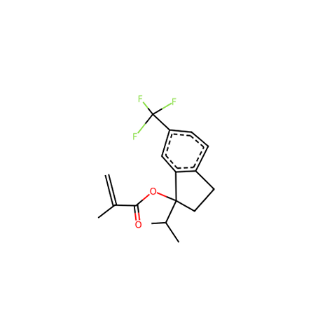 C=C(C)C(=O)OC1(C(C)C)CCc2ccc(C(F)(F)F)cc21